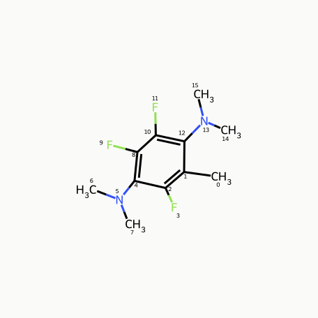 Cc1c(F)c(N(C)C)c(F)c(F)c1N(C)C